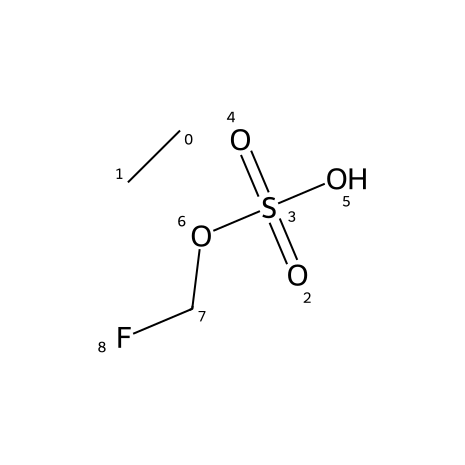 CC.O=S(=O)(O)OCF